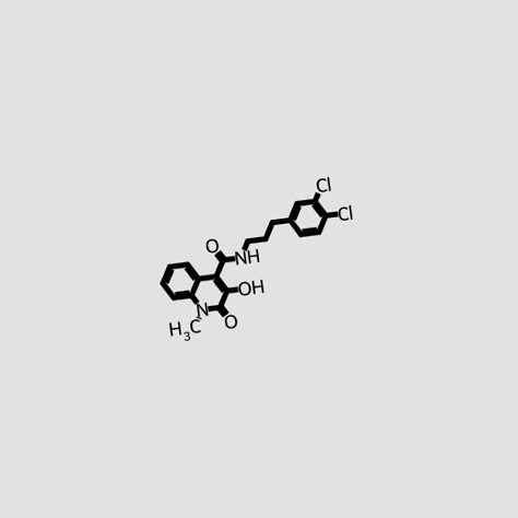 Cn1c(=O)c(O)c(C(=O)NCCCc2ccc(Cl)c(Cl)c2)c2ccccc21